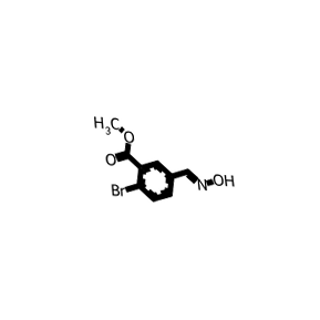 COC(=O)c1cc(C=NO)ccc1Br